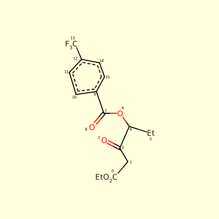 CCOC(=O)CC(=O)C(CC)OC(=O)c1ccc(C(F)(F)F)cc1